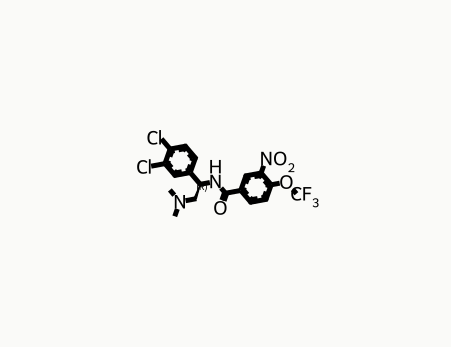 CN(C)C[C@H](NC(=O)c1ccc(OC(F)(F)F)c([N+](=O)[O-])c1)c1ccc(Cl)c(Cl)c1